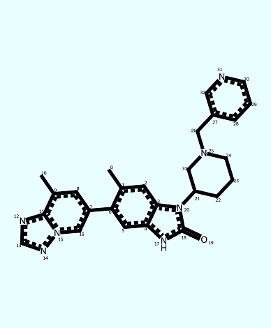 Cc1cc2c(cc1-c1cc(C)c3ncnn3c1)[nH]c(=O)n2C1CCCN(Cc2cccnc2)C1